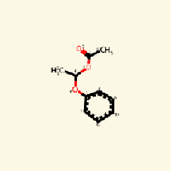 CC(=O)OC(C)Oc1ccccc1